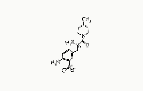 CC1CCN(C(=O)[C@@H](N)Cc2ccc(N)c([N+](=O)[O-])c2)CC1